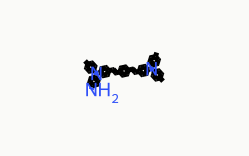 Cc1ccc(N(c2ccc(C)cc2)c2ccc(/C=C/c3ccc(/C=C/c4ccc(N(c5ccc(C)cc5)c5ccc(N)cc5)cc4)cc3)cc2)cc1